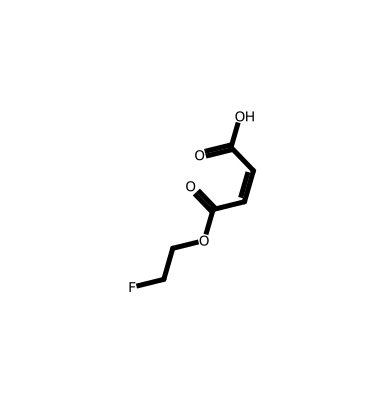 O=C(O)/C=C\C(=O)OCCF